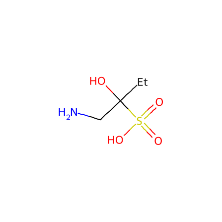 CCC(O)(CN)S(=O)(=O)O